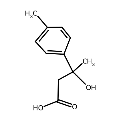 Cc1ccc(C(C)(O)CC(=O)O)cc1